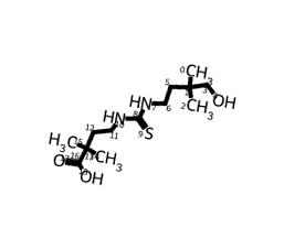 CC(C)(CO)CCNC(=S)NCCC(C)(C)C(=O)O